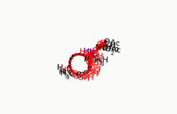 CC(=O)N[C@H]1[C@H](Oc2ccc(COC(=O)N[C@@H]3[C@H](O)[C@H](O[C@H]4/C=C/C=C/C=C/C=C/C=C/C=C/C=C/[C@H](C)[C@@H](O)[C@@H](C)[C@H](C)OC(=O)C[C@H](O)C[C@H](O)CC[C@@H](O)[C@H](O)C[C@H](O)C[C@]5(O)C[C@H](O)[C@@H](C(=O)O)[C@H](C4)O5)O[C@H](C)[C@H]3O)cc2[N+](=O)[O-])O[C@H](COC(C)=O)[C@@H](C)[C@@H]1OC(C)=O